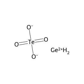 O=[Te](=O)([O-])[O-].[GeH2+2]